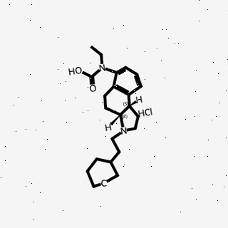 CCN(C(=O)O)c1cccc2c1CC[C@@H]1[C@H]2CCN1CCC1CCCCC1.Cl